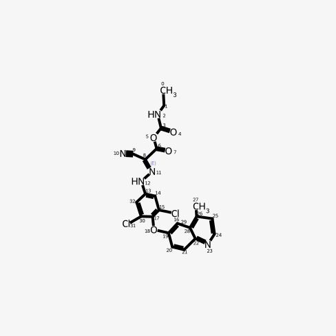 CCNC(=O)OC(=O)/C(C#N)=N/Nc1cc(Cl)c(Oc2ccc3nccc(C)c3c2)c(Cl)c1